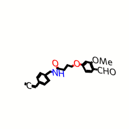 C=C=Cc1ccc(CNC(=O)CCCOc2ccc(C=O)c(OC)c2)cc1